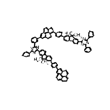 CC1(C)c2cc(-c3ccc(-c4ccc5ccc6cc(-c7cccc(-c8nc(-c9ccccc9)nc(-c9ccc%10c(c9)C(C)(C)c9cc(-c%11ccc(-c%12cc%13ccc%14cccc%15ccc(c%12)c%13c%14%15)cc%11)ccc9-%10)n8)c7)cc7ccc4c5c67)cc3)ccc2-c2ccc(-c3nc(-c4ccccc4)nc(-c4ccccc4)n3)cc21